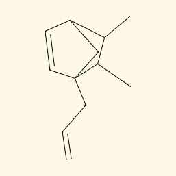 C=CCC12C=CC(C1)C(C)C2C